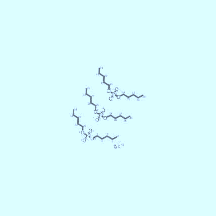 CCCCCOP(=O)([O-])OCCCCC.CCCCCOP(=O)([O-])OCCCCC.CCCCCOP(=O)([O-])OCCCCC.[Nd+3]